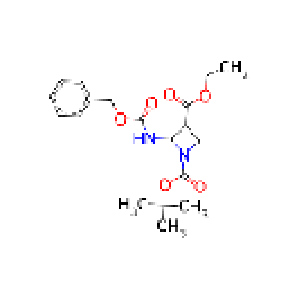 CCOC(=O)C1CN(C(=O)OC(C)(C)C)C1NC(=O)OCc1ccccc1